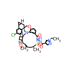 CCn1cc(C(=O)N[S@@]2(=O)=NC(=O)c3ccc4c(c3)N(C[C@@H]3CC[C@H]3[C@@H](OC)/C=C/C[C@H](C)C2)C[C@]2(CO4)C[C@@H]3CC3c3cc(Cl)ccc32)cn1